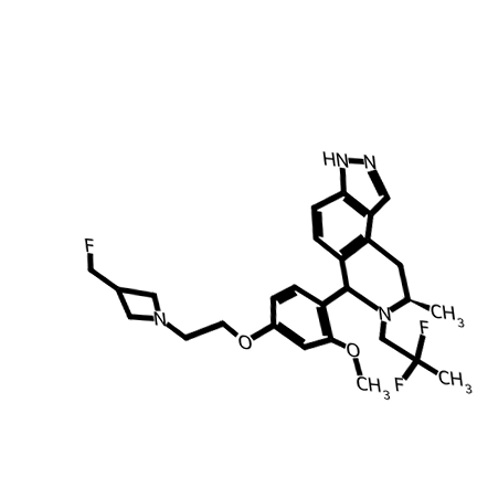 COc1cc(OCCN2CC(CF)C2)ccc1C1c2ccc3[nH]ncc3c2C[C@@H](C)N1CC(C)(F)F